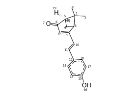 CC1(C)C2C[C@H]1C(=O)C=C2C=Cc1ccc(O)cc1